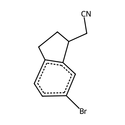 N#CCC1CCc2ccc(Br)cc21